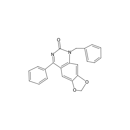 O=c1nc(-c2ccccc2)c2cc3c(cc2n1Cc1ccccc1)OCO3